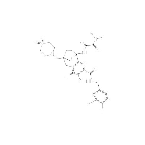 Cc1cc(CNC(=O)c2nc3n(c(=O)c2O)CC2(CN4CCS(=O)(=O)CC4)CCC3(NC(=O)C(=O)N(C)C)CC2)ccc1F